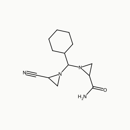 N#CC1CN1C(C1CCCCC1)N1CC1C(N)=O